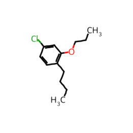 CCCCc1ccc(Cl)cc1OCCC